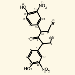 O=C(C(CBr)c1ccc(O)c([N+](=O)[O-])c1)C(CBr)c1ccc(O)c([N+](=O)[O-])c1